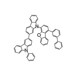 c1ccc(-c2cccc(-c3ccc(-n4c5ccccc5c5ccc(-c6ccc7c(c6)c6ccccc6n7-c6ccccc6)cc54)c4oc5ccccc5c34)c2)cc1